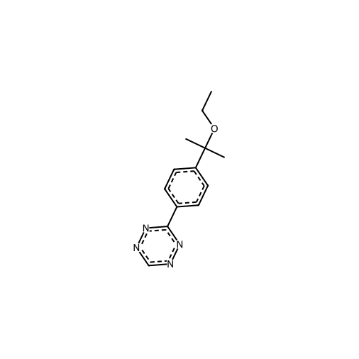 CCOC(C)(C)c1ccc(-c2nncnn2)cc1